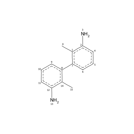 Cc1c(N)cccc1-c1cccc(N)c1C